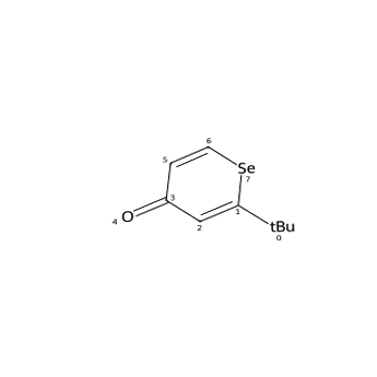 CC(C)(C)c1cc(=O)cc[se]1